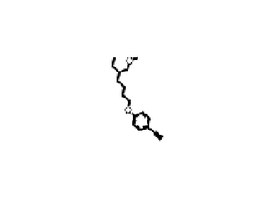 C#Cc1ccc(OCCCCC(CC)COC)cc1